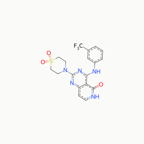 O=c1[nH]ccc2nc(N3CCS(=O)(=O)CC3)nc(Nc3cccc(C(F)(F)F)c3)c12